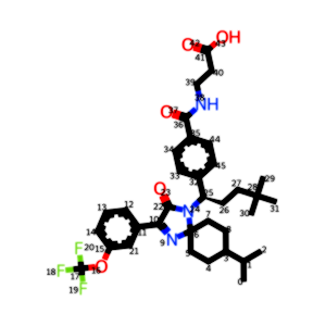 CC(C)C1CCC2(CC1)N=C(c1cccc(OC(F)(F)F)c1)C(=O)N2[C@H](CCC(C)(C)C)c1ccc(C(=O)NCCC(=O)O)cc1